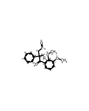 COc1cccc(C(=O)C(C)(CP=O)c2ccccc2)c1OC